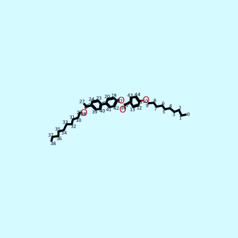 CCCCCCCCCCOc1ccc(C(=O)Oc2ccc(-c3ccc(C(C)OCCCCCCCCCC)cc3)cc2)cc1